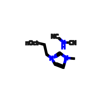 CCCCCCCCCC[n+]1ccn(C)c1.N#CNC#N